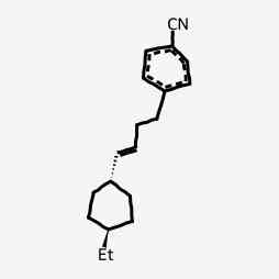 CC[C@H]1CC[C@H](C=CCCc2ccc(C#N)cc2)CC1